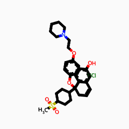 CS(=O)(=O)C1CCC(C2(Oc3ccc(OCCN4CCCCC4)cc3)CC=Cc3cc(O)ccc32)CC1.Cl